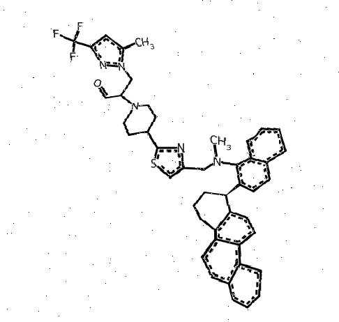 Cc1cc(C(F)(F)F)nn1CC(C=O)N1CCC(c2nc(CN(C)c3c([C@@H]4CCCc5c4ccc4c5ccc5ccccc54)ccc4ccccc34)cs2)CC1